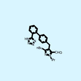 CCCCc1nn(C(C)C)c(C=O)c1Cc1ccc(-c2ccccc2-c2nnn[nH]2)cc1